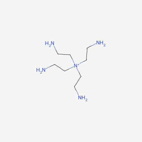 NCC[N+](CCN)(CCN)CCN